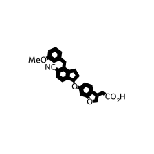 COc1cccc(Cc2c(C#N)ccc3c2CC[C@H]3Oc2ccc3c(c2)OCC3CC(=O)O)c1